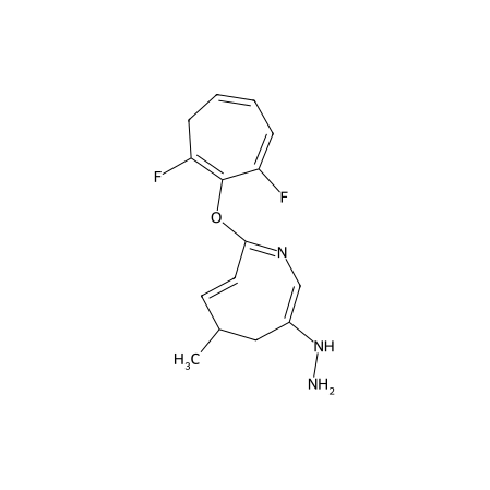 CC1/C=C/C(OC2=C(F)CC=CC=C2F)=N\C=C(\NN)C1